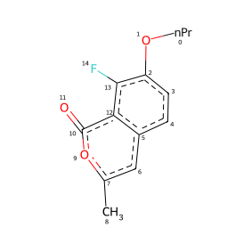 CCCOc1ccc2cc(C)oc(=O)c2c1F